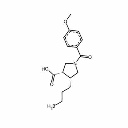 BCCC[C@H]1CN(C(=O)c2ccc(OC)cc2)C[C@H]1C(=O)O